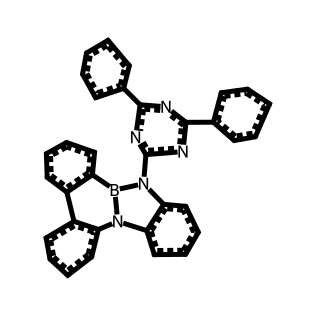 c1ccc(-c2nc(-c3ccccc3)nc(N3B4c5ccccc5-c5ccccc5N4c4ccccc43)n2)cc1